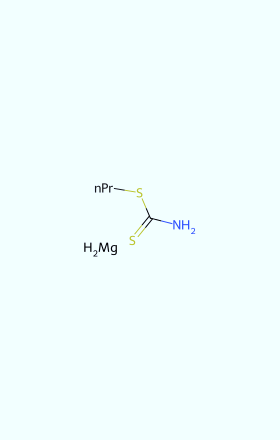 CCCSC(N)=S.[MgH2]